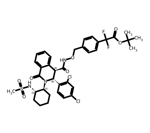 CC(C)(C)OC(=O)C(F)(F)c1ccc(CONC(=O)[C@@H]2c3ccccc3C(=O)N([C@H]3CCCC[C@@H]3NS(C)(=O)=O)[C@H]2c2ccc(Cl)cc2Cl)cc1